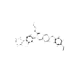 CCCCC(=O)N(CC1CCN(Cc2ccc(CC)cc2)CC1)c1ccc(N2CCOCC2)c(F)c1